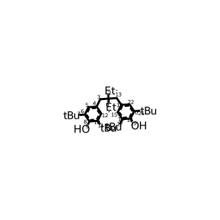 C[CH]C([CH]C)(Cc1cc(C(C)(C)C)c(O)c(C(C)(C)C)c1)Cc1cc(C(C)(C)C)c(O)c(C(C)(C)C)c1